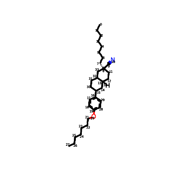 CCCCCCCC[C@]1(C#N)CC[C@@H]2CC(c3ccc(OCCCCCCC)cc3)CCC2C1